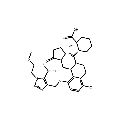 COCCn1nnc(COc2ccc(Cl)c3c2[C@@H](CN2CCCC2=O)N(C(=O)[C@@H]2CCCC[C@]2(C)C(=O)O)CC3)c1C(F)F